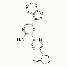 Nc1ncc(-c2csc3ncccc23)cc1-c1ccc(N2CCCC2=O)cn1